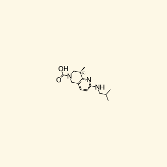 CC(C)CNc1ccc2c(n1)[C@H](C)CN(C(=O)O)C2